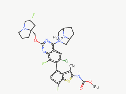 CC(C)(C)OC(=O)Nc1sc2c(F)ccc(-c3c(Cl)cc4c(N5CC6CCC(C5)N6C(=O)O)nc(OC[C@@]56CCCN5C[C@H](F)C6)nc4c3F)c2c1C#N